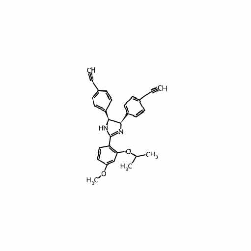 C#Cc1ccc([C@H]2N=C(c3ccc(OC)cc3OC(C)C)N[C@H]2c2ccc(C#C)cc2)cc1